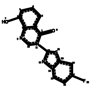 O=c1c2cccc(O)c2ncn1-c1nc2ccc(F)cc2s1